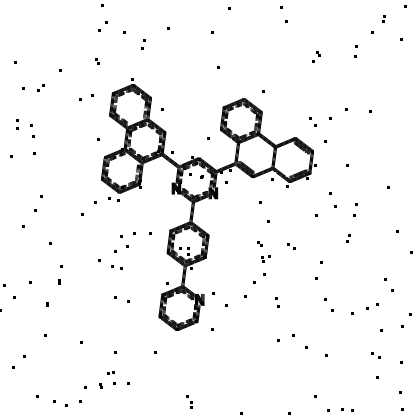 C1=CC2C=C(c3cc(-c4cc5ccccc5c5ccccc45)nc(-c4ccc(-c5ccccn5)cc4)n3)c3ccccc3C2C=C1